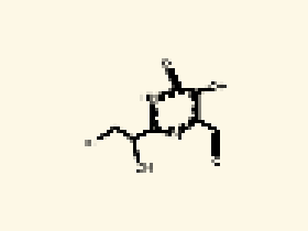 O=Cc1nc(C(O)CO)[nH]c(=O)c1O